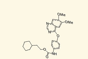 COc1cc2ncnc(Oc3ccc(NC(=O)OCCC4CCCCC4)cc3)c2cc1OC